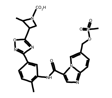 Cc1ccc(-c2noc(C3CN(C(=O)O)C3C)n2)cc1NC(=O)c1cnc2ccc(COS(C)(=O)=O)cn12